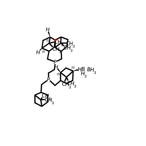 B.B.CC1(C)C2CCC(CP(CCP(CC3CCC4CC3C4(C)C)CC3CC[C@H]4C[C@@H]3C4(C)C)CC3CC[C@H]4C[C@@H]3C4(C)C)C1C2